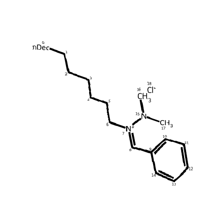 CCCCCCCCCCCCCCCC[N+](=Cc1ccccc1)N(C)C.[Cl-]